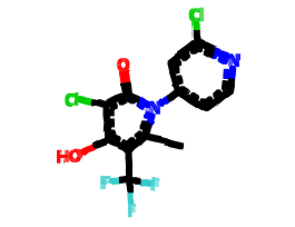 Cc1c(C(F)(F)F)c(O)c(Cl)c(=O)n1-c1ccnc(Cl)c1